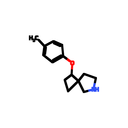 Cc1ccc(OC2CCC23CCNC3)cc1